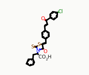 O=C(/C=C/c1ccc(/C=C2\SC(=S)N(C(Cc3ccccc3)C(=O)O)C2=O)cc1)c1ccc(Cl)cc1